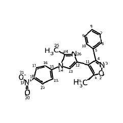 Cc1onc(-c2ccccc2)c1-c1cn(-c2ccc([N+](=O)[O-])cc2)c(C)n1